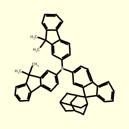 CC1(C)c2ccccc2-c2ccc(N(c3ccc4c(c3)C(C)(C)c3ccccc3-4)c3ccc4c(c3)C3(c5ccccc5-4)C4CC5CC(C4)CC3C5)cc21